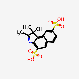 CC1=Nc2c(S(=O)(=O)O)cc3ccc(S(=O)(=O)O)cc3c2C1(C)C